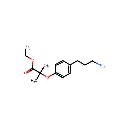 CCOC(=O)C(C)(C)Oc1ccc(CCCN)cc1